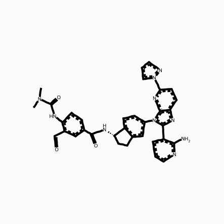 CN(C)C(=O)Nc1ccc(C(=O)N[C@H]2CCc3cc(-n4c(-c5cccnc5N)nc5ccc(-n6cccn6)nc54)ccc32)cc1C=O